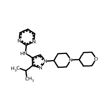 CC(C)c1nn(C2CCN(C3CCOCC3)CC2)cc1Nc1ncccn1